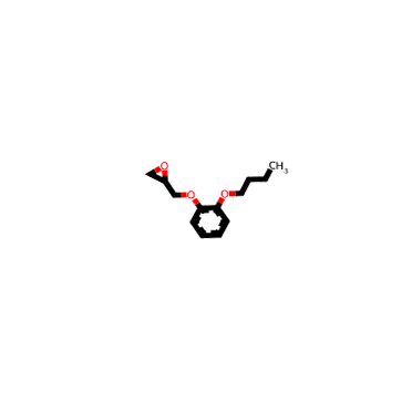 CCCCOc1ccccc1OCC1CO1